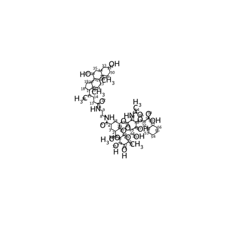 CCC1CC(C(=O)NCCNC(=O)CC[C@@H](C)[C@H]2CCC3C4C(CC[C@@]32C)[C@@]2(C)CC[C@@H](O)CC2C[C@H]4O)C[C@@H](O[C@@H]2O[C@@H](CO)[C@H](O)C(O[C@@H](CC3CCCCC3)C(=O)O)C2NC(C)=O)C1OC1O[C@@H](C)C(O)[C@H](O)[C@@H]1O